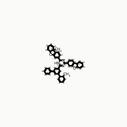 CC1C=CC=CC1c1cc(C2=NC(C3C=CC4=C(C3)OC3C=CC=CC43)=NC(c3ccc4c(c3)OC3C=CC=CC43C)N2)cc(-c2ccccc2)c1